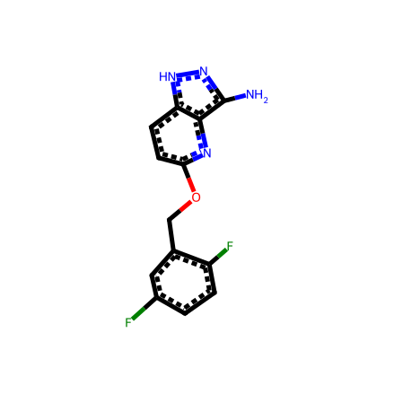 Nc1n[nH]c2ccc(OCc3cc(F)ccc3F)nc12